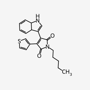 CCCCCN1C(=O)C(C2=CNC3C=CC=CC23)=C(c2ccsc2)C1=O